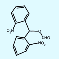 O=COC(c1ccccc1[N+](=O)[O-])c1ccccc1[N+](=O)[O-]